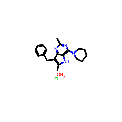 Cc1nc(N2CCCCC2)c2[nH]c(C)c(Cc3ccccc3)c2n1.Cl.O